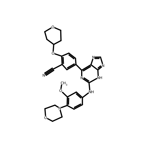 COc1cc(Nc2nc(-c3ccc(OC4CCOCC4)c(C#N)c3)c3ncnc-3[nH]2)ccc1N1CCOCC1